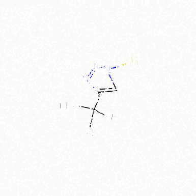 CC(C)(C)c1cn(S)nn1